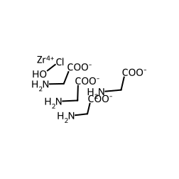 NCC(=O)[O-].NCC(=O)[O-].NCC(=O)[O-].NCC(=O)[O-].OCl.[Zr+4]